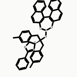 Cc1ccc(CC(Cc2ccc(C)cc2)(Op2oc3ccc4ccccc4c3c3c(ccc4ccccc43)o2)[C@@H]2COC(c3ccccc3)=N2)cc1